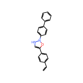 C=Cc1ccc(C2=CNN(c3ccc(-c4ccccc4)cc3)O2)cc1